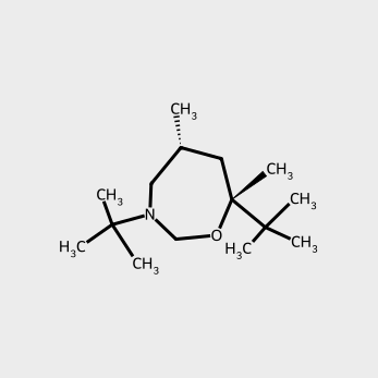 C[C@H]1CN(C(C)(C)C)CO[C@@](C)(C(C)(C)C)C1